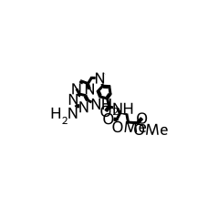 COC(=O)CC[C@H](NC(=O)c1ccc(N(C)Cc2cnc3nc(N)nc(N)c3n2)cc1)C(=O)OC